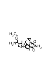 CCOCC(N)C1CCN(c2cnc3c(=O)n(N)c(=O)n(C4CC4)c3c2C)C1